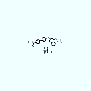 CCCCN(Cc1ccc(-c2ccc(C(=O)O)cc2)cc1)CC1CCCCC1.O=C(O)C(F)(F)F